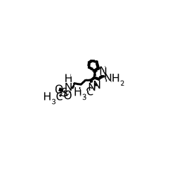 Cn1nc2c(N)nc3ccccc3c2c1CCCCNS(C)(=O)=O